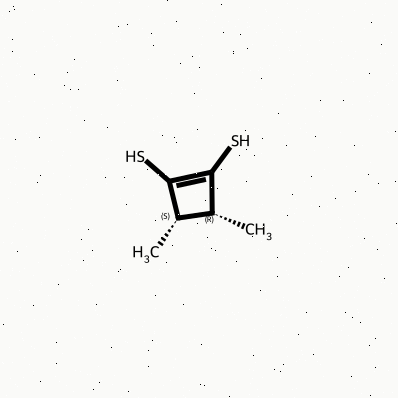 C[C@@H]1C(S)=C(S)[C@@H]1C